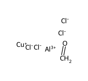 C=O.[Al+3].[Cl-].[Cl-].[Cl-].[Cl-].[Cu+]